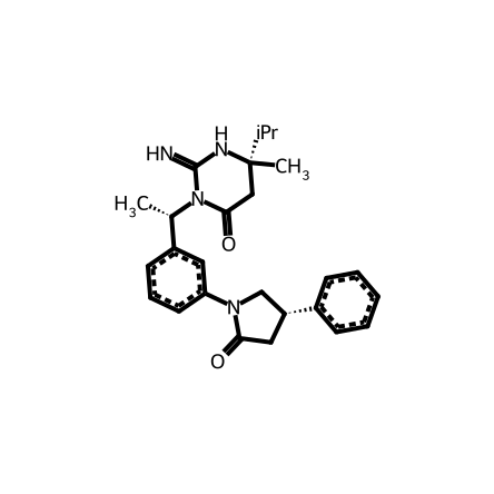 CC(C)[C@]1(C)CC(=O)N([C@@H](C)c2cccc(N3C[C@H](c4ccccc4)CC3=O)c2)C(=N)N1